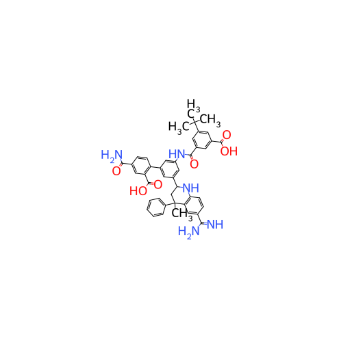 CC(C)(C)c1cc(C(=O)O)cc(C(=O)Nc2cc(-c3ccc(C(N)=O)cc3C(=O)O)cc(C3CC(C)(c4ccccc4)c4cc(C(=N)N)ccc4N3)c2)c1